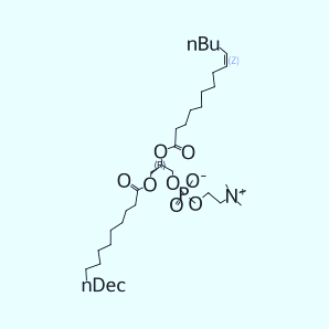 CCCC/C=C\CCCCCCCC(=O)O[C@H](COC(=O)CCCCCCCCCCCCCCCCCC)COP(=O)([O-])OCC[N+](C)(C)C